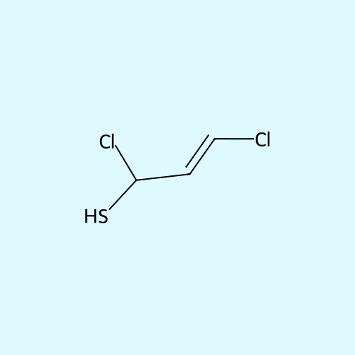 SC(Cl)C=CCl